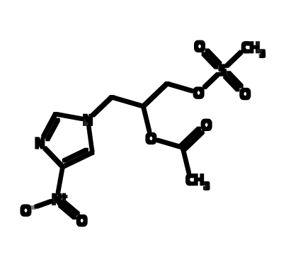 CC(=O)OC(COS(C)(=O)=O)Cn1cnc([N+](=O)[O-])c1